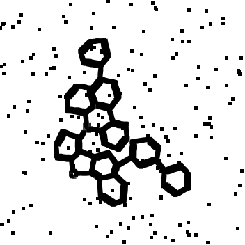 c1ccc(-c2ccc(-c3ccccc3N(c3ccccc3)c3cccc4oc5c6ccccc6c(-c6cccc(-c7ccccc7)c6)cc5c34)cc2)cc1